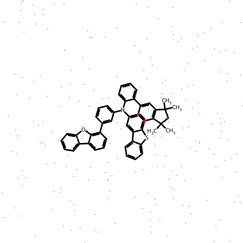 CC1(C)CC(C)(C)c2cc(-c3ccccc3N(c3cccc(-c4cccc5c4oc4ccccc45)c3)c3ccc4sc5ccccc5c4c3)ccc21